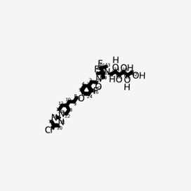 O=C(Cc1ccc(OCCCC2CCN(c3ncc(Cl)cn3)CC2)cc1F)N1CC2(C1)N(C[C@H](O)[C@@H](O)[C@H](O)[C@H](O)CO)CC2(F)F